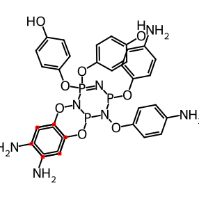 Nc1ccc(ON2P(Oc3ccc(N)cc3)N=P(Oc3ccc(O)cc3)(Oc3ccc(O)cc3)N(Oc3ccc(N)cc3)P2Oc2ccc(N)cc2)cc1